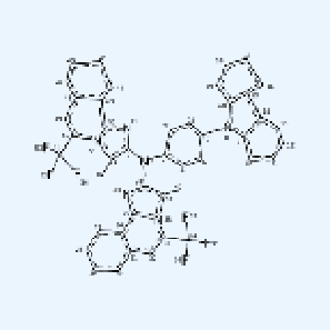 Cc1c(N(c2ccc(-n3c4ccccc4c4ccccc43)cc2)c2nc3c4ccccc4cc(C(F)(F)F)n3c2C)nc2c3ccccc3cc(C(F)(F)F)n12